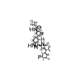 Cc1cc(F)cc(-c2cccc3[nH]c(-c4n[nH]c5ccc(-c6cncc(NC(=O)C7CCC7)c6)cc45)cc23)c1